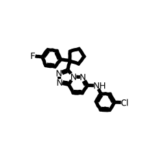 Fc1ccc(C2(c3nnc4ccc(Nc5cccc(Cl)c5)nn34)CCCC2)cc1